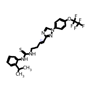 CC(C)c1ccccc1NC(=S)NCC/C=C/c1ncn(-c2ccc(OC(F)(F)C(F)(F)F)cc2)n1